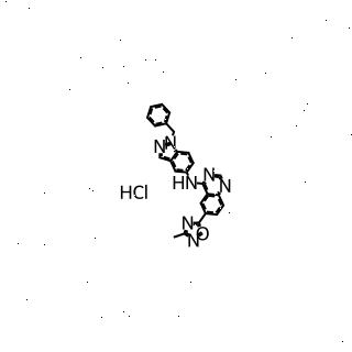 Cc1noc(-c2ccc3ncnc(Nc4ccc5c(cnn5Cc5ccccc5)c4)c3c2)n1.Cl